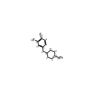 CC(C)N1CCC(Cc2ccc(F)c(F)c2)CC1